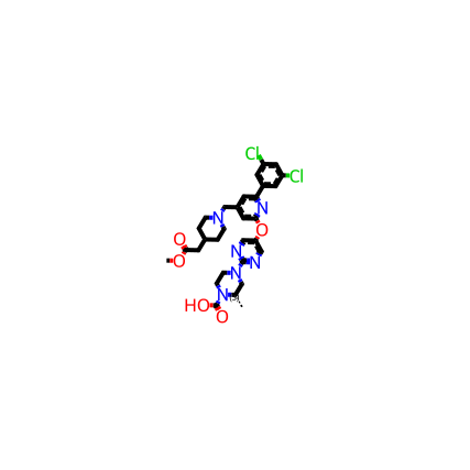 COC(=O)CC1CCN(Cc2cc(Oc3cnc(N4CCN(C(=O)O)[C@@H](C)C4)nc3)nc(-c3cc(Cl)cc(Cl)c3)c2)CC1